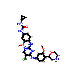 COc1cc(NC(=O)NC2CC2)ccc1Nc1ncc(Cl)c(Nc2ccc(C3CNCCO3)c(OC)c2)n1